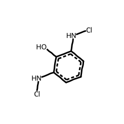 Oc1c(NCl)cccc1NCl